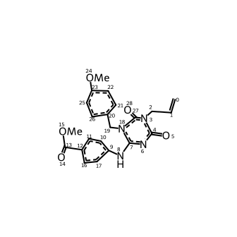 C=CCn1c(=O)nc(Nc2ccc(C(=O)OC)cc2)n(Cc2ccc(OC)cc2)c1=O